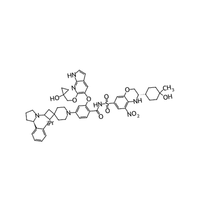 CC(C)c1ccccc1[C@H]1CCCN1C1CC2(CCN(c3ccc(C(=O)NS(=O)(=O)c4cc5c(c([N+](=O)[O-])c4)N[C@@H](C4CCC(C)(O)CC4)CO5)c(Oc4cc5cc[nH]c5nc4OCC4(O)CC4)c3)CC2)C1